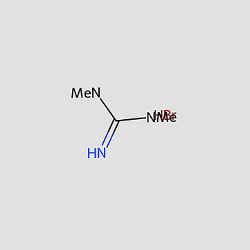 Br.CNC(=N)NC